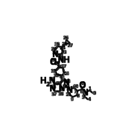 CCN(CC)C(=O)C1CCCN(c2nc(-c3ccc(C(=O)Nc4cc(C5CC5)ccn4)cc3)c3c(N)nccn23)C1